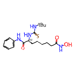 CC(C)(C)NC(=S)N[C@@H](CCCCCC(=O)NO)C(=O)Nc1ccccc1